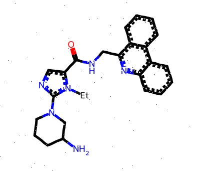 CCn1c(C(=O)NCc2nc3ccccc3c3ccccc23)cnc1N1CCCC(N)C1